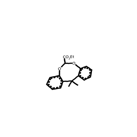 CCOC(=O)C1Oc2ccccc2C(C)(C)c2ccccc2O1